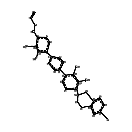 C=CCOc1ccc(-c2ccc(-c3ccc(C4CCc5cc(C)ccc5C4)c(F)c3F)cc2)c(F)c1F